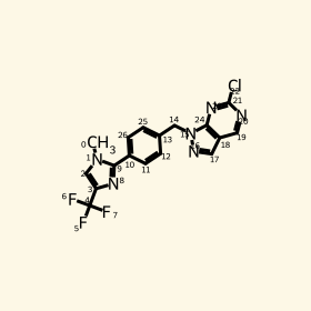 Cn1cc(C(F)(F)F)nc1-c1ccc(Cn2ncc3cnc(Cl)nc32)cc1